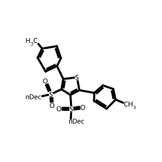 CCCCCCCCCCS(=O)(=O)c1c(-c2ccc(C)cc2)sc(-c2ccc(C)cc2)c1S(=O)(=O)CCCCCCCCCC